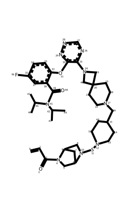 C=CC(=O)N1CC2CC1CN2SN1CCC(CN2CCC3(CC2)CN(c2ncnnc2Oc2ccc(F)cc2C(=O)N(C(C)C)C(C)C)C3)CC1